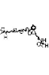 C=CC(=O)NCCCCOCCOCCOC(=O)c1ccccc1OCCCCNC(=O)C=C